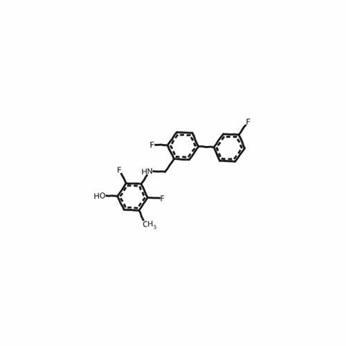 Cc1cc(O)c(F)c(NCc2cc(-c3cccc(F)c3)ccc2F)c1F